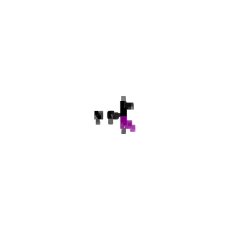 [Co].[Ni].[PH2][Pm]